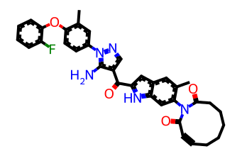 Cc1cc(-n2ncc(C(=O)c3cc4cc(C)c(N5C(=O)C#CCCCCCC5=O)cc4[nH]3)c2N)ccc1Oc1ccccc1F